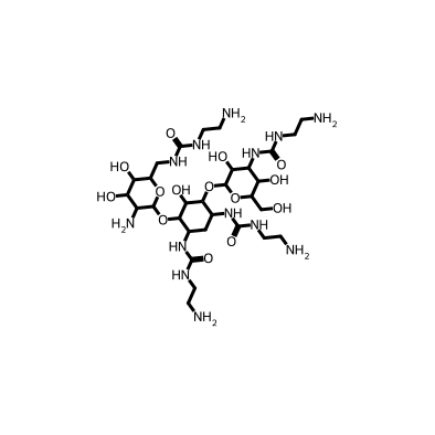 NCCNC(=O)NCC1OC(OC2C(NC(=O)NCCN)CC(NC(=O)NCCN)C(OC3OC(CO)C(O)C(NC(=O)NCCN)C3O)C2O)C(N)C(O)C1O